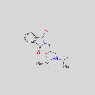 CC(NCC(CN1C(=O)c2ccccc2C1=O)O[Si](C)(C)C(C)(C)C)C(C)(C)C